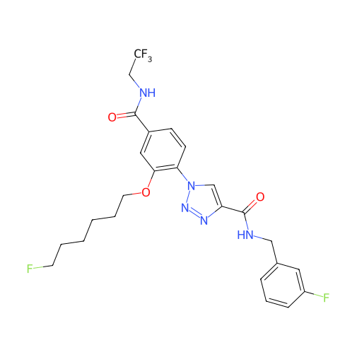 O=C(NCC(F)(F)F)c1ccc(-n2cc(C(=O)NCc3cccc(F)c3)nn2)c(OCCCCCCF)c1